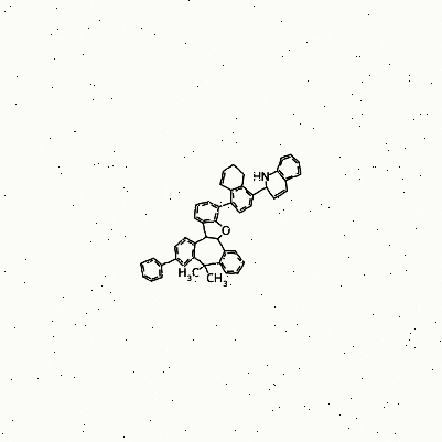 CC1(C)c2ccccc2C2Oc3c(-c4ccc(C5C=Cc6ccccc6N5)c5c4C=CCC5)cccc3C2c2ccc(-c3ccccc3)cc21